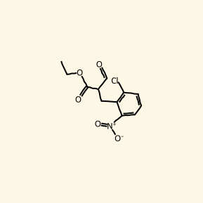 CCOC(=O)C(C=O)Cc1c(Cl)cccc1[N+](=O)[O-]